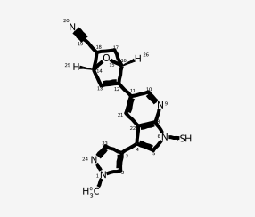 Cn1cc(-c2cn(S)c3ncc(C4=C[C@H]5O[C@@H]4CC5C#N)cc23)cn1